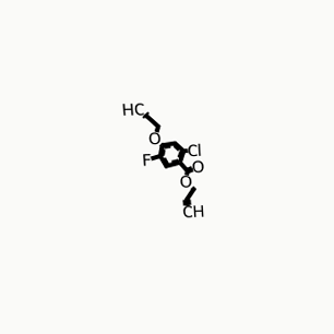 C#CCOC(=O)c1cc(F)c(OCC#C)cc1Cl